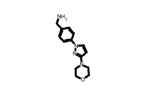 NCc1ccc(-n2ccc(N3CCOCC3)n2)cc1